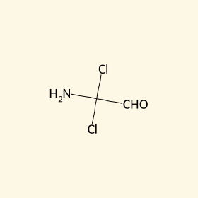 NC(Cl)(Cl)C=O